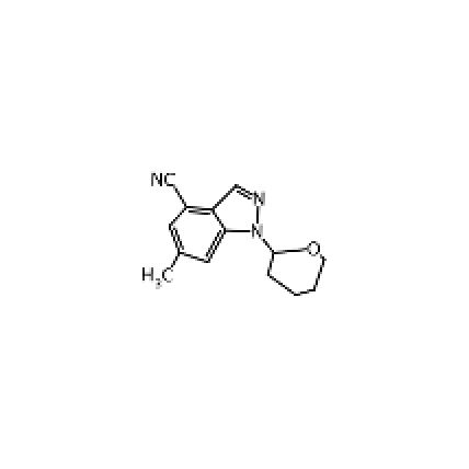 Cc1cc(C#N)c2cnn(C3CCCCO3)c2c1